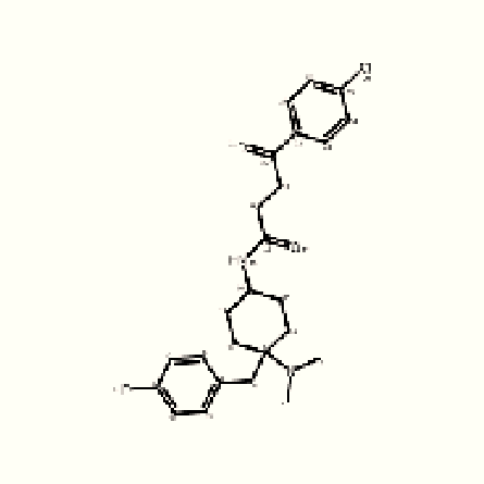 CN(C)C1(Cc2ccc(F)cc2)CCC(NC(=O)CCC(=O)c2ccc(Cl)cc2)CC1